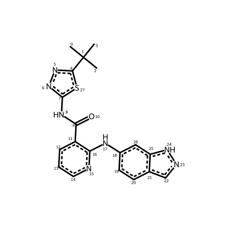 CC(C)(C)c1nnc(NC(=O)c2cccnc2Nc2ccc3cn[nH]c3c2)s1